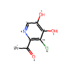 CC(C)C(=O)c1ncc(O)c(O)c1Cl